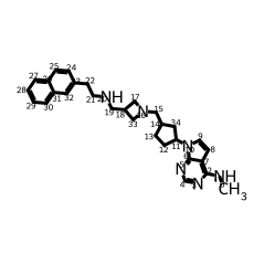 CNc1ncnc2c1ccn2C1CCC(CN2CC(CNCCc3ccc4ccccc4c3)C2)C1